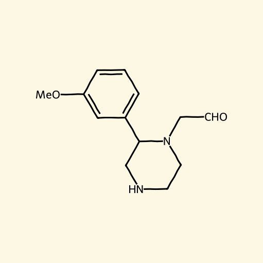 COc1cccc(C2CNCCN2CC=O)c1